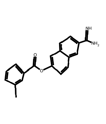 Cc1cccc(C(=O)Oc2ccc3cc(C(=N)N)ccc3c2)c1